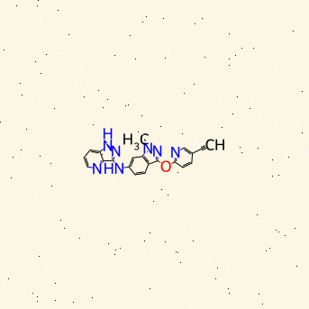 C#Cc1ccc(Oc2nn(C)c3cc(Nc4n[nH]c5cccnc45)ccc23)nc1